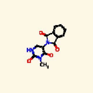 Cn1c(=O)[nH]cc(N2C(=O)c3ccccc3C2=O)c1=O